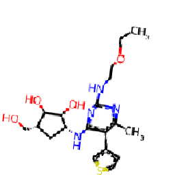 CCOCCNc1nc(C)c(-c2ccsc2)c(N[C@@H]2C[C@H](CO)[C@@H](O)[C@H]2O)n1